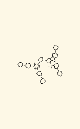 CC1(C)c2cc(-c3ccccc3)ccc2-n2c3ccc(-c4ccccc4)cc3c3cc(-c4cccc(-c5nc(-c6ccc(-c7ccccc7)cc6)nc(-c6ccc(-c7ccccc7)cc6)n5)c4)cc1c32